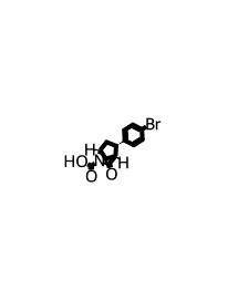 O=C(O)N1C(=O)[C@H]2C[C@@H]1C[C@@H]2c1ccc(Br)cc1